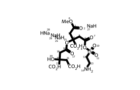 COC(=O)CC(CC(=O)OS(=O)(=O)CCN)(OC(=O)CC(O)(CC(=O)O)C(=O)O)C(=O)O.[NaH].[NaH].[NaH].[NaH]